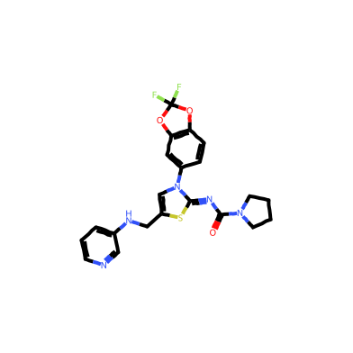 O=C(N=c1sc(CNc2cccnc2)cn1-c1ccc2c(c1)OC(F)(F)O2)N1CCCC1